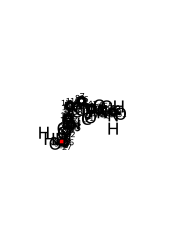 COc1nc(-c2cccc(-c3cccc(-c4ccn5c(=O)c(CN(C)C67CCC(C6)C(=O)N7)cnc5c4)c3Cl)c2Cl)ccc1CN(C[C@@H]1CCC(=O)N1)C(=O)O